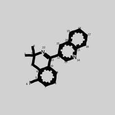 CC1(C)Cc2c(I)cccc2C(c2cnc3ccccc3c2)=N1